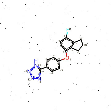 Fc1ccc(Oc2ccc(-c3nnn[nH]3)cc2)c2c1CCC2